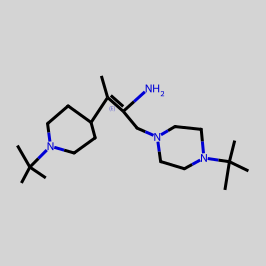 C/C(=C(\N)CN1CCN(C(C)(C)C)CC1)C1CCN(C(C)(C)C)CC1